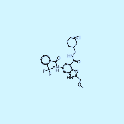 COCc1nc2c(C(=O)NCC3CCCCC3)cc(NC(=O)c3ccccc3C(F)(F)F)cc2[nH]1.Cl